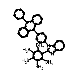 Bc1c(B)c(B)c(-c2nc3ccccc3n2-c2ccc(-c3c4ccccc4c(-c4ccccc4)c4ccccc34)cc2)c(B)c1B